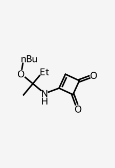 CCCCOC(C)(CC)Nc1cc(=O)c1=O